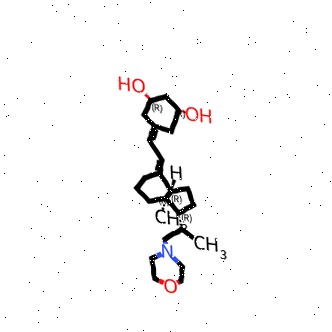 CC(CN1CCOCC1)[C@H]1CC[C@H]2C(=CC=C3C[C@@H](O)C[C@H](O)C3)CCC[C@]12C